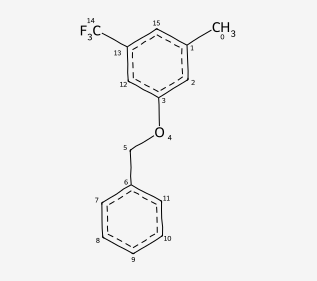 Cc1cc(OCc2ccccc2)cc(C(F)(F)F)c1